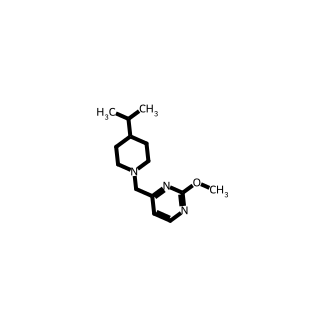 COc1nccc(CN2CCC(C(C)C)CC2)n1